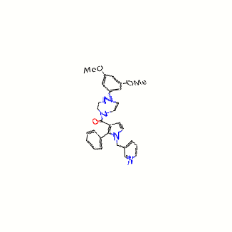 COc1cc(OC)cc(N2CCN(C(=O)c3ccn(Cc4cccnc4)c3-c3ccccc3)CC2)c1